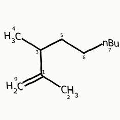 C=C(C)C(C)CCCCCC